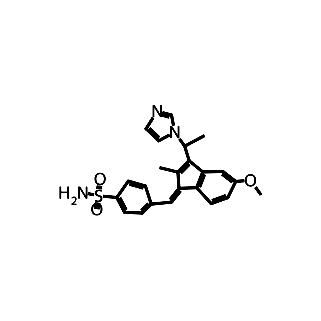 COc1ccc2c(c1)C(C(C)n1ccnc1)=C(C)C2=Cc1ccc(S(N)(=O)=O)cc1